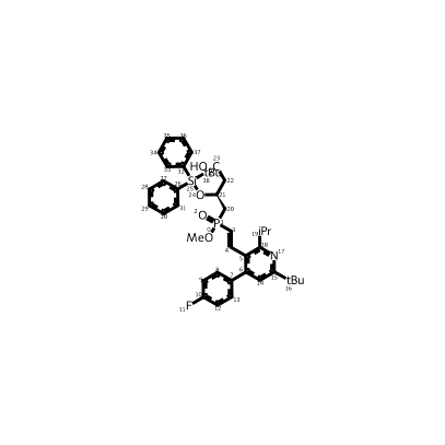 COP(=O)(/C=C/c1c(-c2ccc(F)cc2)cc(C(C)(C)C)nc1C(C)C)C[C@H](CC(=O)O)O[Si](c1ccccc1)(c1ccccc1)C(C)(C)C